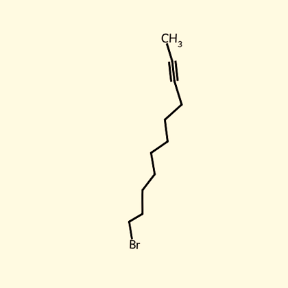 CC#CCCCCCCCCBr